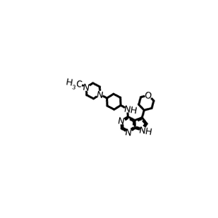 CN1CCN(C2CCC(Nc3ncnc4[nH]cc(C5CCOCC5)c34)CC2)CC1